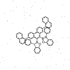 c1ccc(C2B(c3c(B4Oc5ccccc5N4c4ccccc4)c4cc(-c5cccc6ccccc56)ccc4c4ccc(-c5cccc6ccccc56)cc34)Oc3ccccc32)cc1